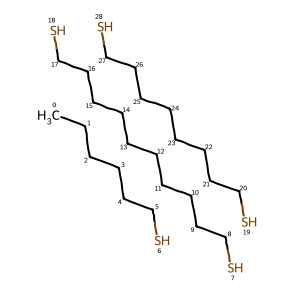 CCCCCCS.SCCCCCCCCCCS.SCCCCCCCCS